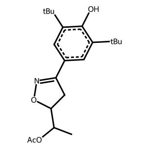 CC(=O)OC(C)C1CC(c2cc(C(C)(C)C)c(O)c(C(C)(C)C)c2)=NO1